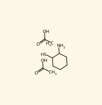 CC(=O)O.CC(=O)O.NC1CCCCC1S